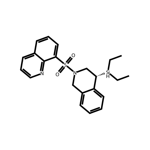 CC[SiH](CC)[C@H]1CN(S(=O)(=O)c2cccc3cccnc23)Cc2ccccc21